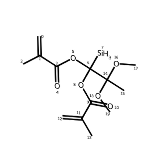 C=C(C)C(=O)OC([SiH3])(OC(=O)C(=C)C)C(C)(OC)OC